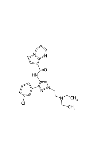 CCN(CC)CCn1cc(NC(=O)c2cnn3cccnc23)c(-c2cccc(Cl)c2)n1